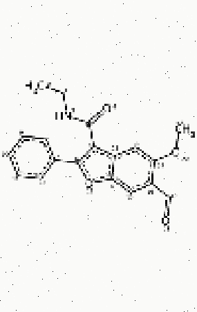 CCNC(=O)c1c(-c2ccccc2)oc2cc(C=O)c(OC)cc12